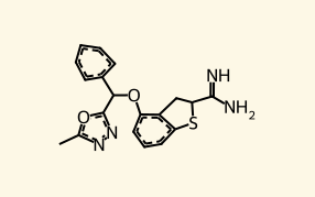 Cc1nnc(C(Oc2cccc3c2CC(C(=N)N)S3)c2ccccc2)o1